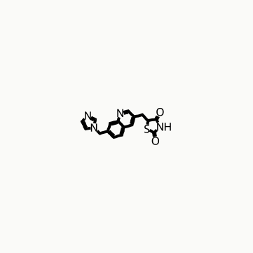 O=C1NC(=O)C(Cc2cnc3cc(Cn4ccnc4)ccc3c2)S1